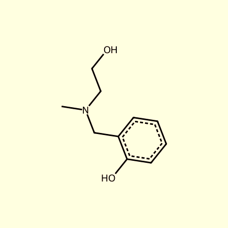 CN(CCO)Cc1ccccc1O